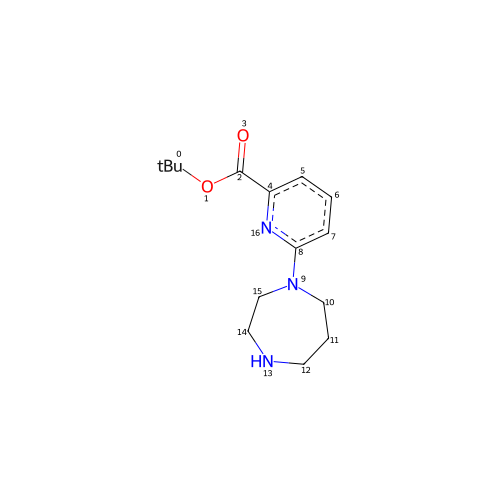 CC(C)(C)OC(=O)c1cccc(N2CCCNCC2)n1